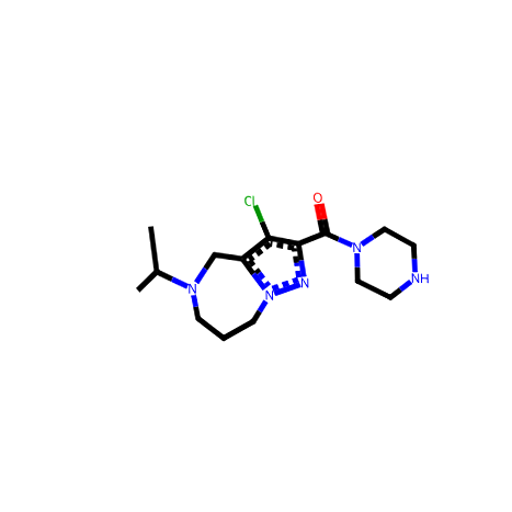 CC(C)N1CCCn2nc(C(=O)N3CCNCC3)c(Cl)c2C1